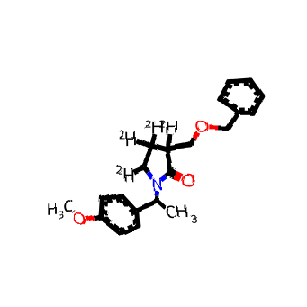 [2H]C1N(C(C)c2ccc(OC)cc2)C(=O)C([2H])(COCc2ccccc2)C1([2H])[2H]